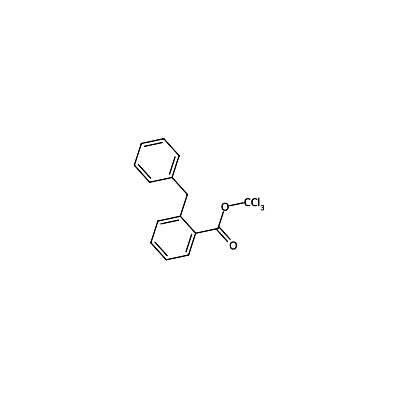 O=C(OC(Cl)(Cl)Cl)c1ccccc1Cc1ccccc1